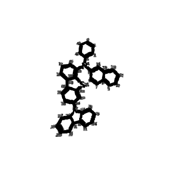 c1ccc(N(c2ccc3ccccc3c2)c2cccc3c2sc2cc(-n4c5ccccc5c5ccccc54)ccc23)cc1